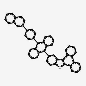 c1ccc2cc(-c3ccc(-c4c5ccccc5c(-c5ccc6oc7c8ccccc8c8ccccc8c7c6c5)c5ccccc45)cc3)ccc2c1